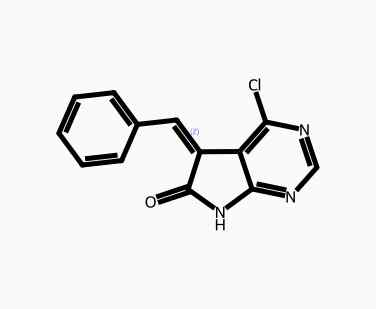 O=C1Nc2ncnc(Cl)c2/C1=C/c1ccccc1